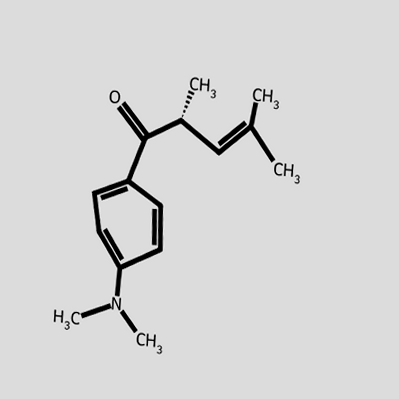 CC(C)=C[C@@H](C)C(=O)c1ccc(N(C)C)cc1